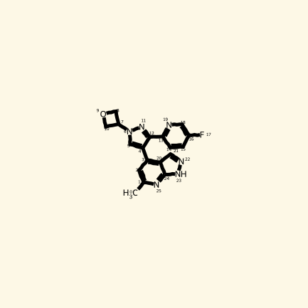 Cc1cc(-c2cn(C3COC3)nc2-c2ccc(F)cn2)c2cn[nH]c2n1